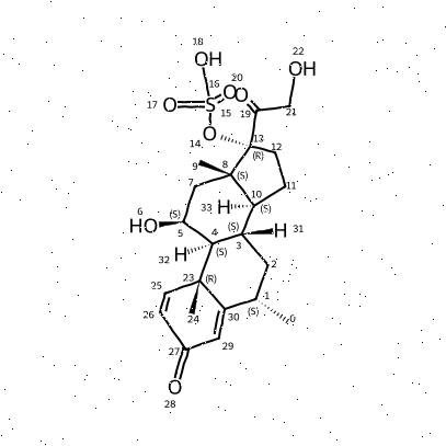 C[C@H]1C[C@@H]2[C@H]([C@@H](O)C[C@@]3(C)[C@H]2CC[C@]3(OS(=O)(=O)O)C(=O)CO)[C@@]2(C)C=CC(=O)C=C12